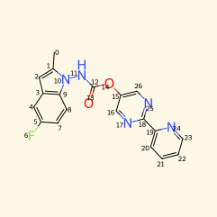 Cc1cc2cc(F)ccc2n1NC(=O)Oc1cnc(-c2ccccn2)nc1